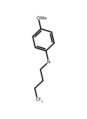 COc1ccc([N]CCCC(F)(F)F)cc1